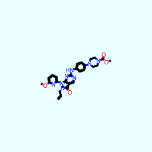 C=CCn1c(=O)c2cnc(Nc3ccc(N4CCN(C(=O)OC)CC4)cc3)nc2n1-c1cccc(OC)n1